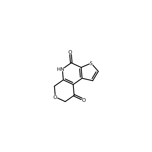 O=C1COCc2[nH]c(=O)c3sccc3c21